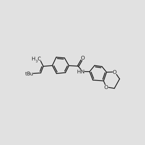 CC(=CC(C)(C)C)c1ccc(C(=O)Nc2ccc3c(c2)OCCO3)cc1